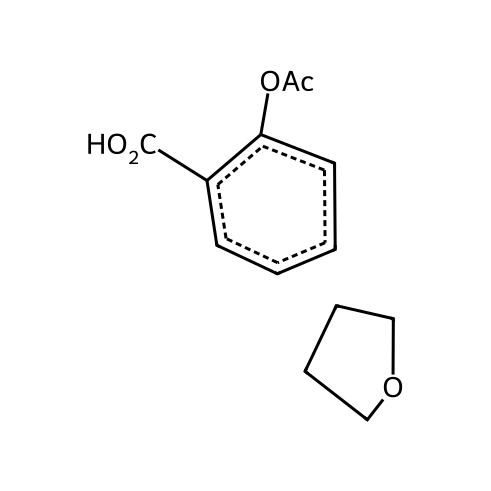 C1CCOC1.CC(=O)Oc1ccccc1C(=O)O